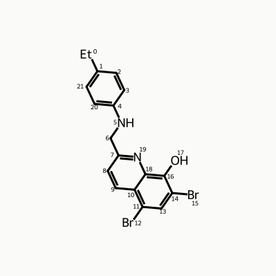 CCc1ccc(NCc2ccc3c(Br)cc(Br)c(O)c3n2)cc1